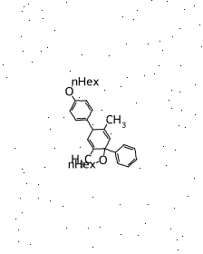 CCCCCCOc1ccc(C2C=C(C)C(OCCCCCC)(c3ccccc3)C=C2C)cc1